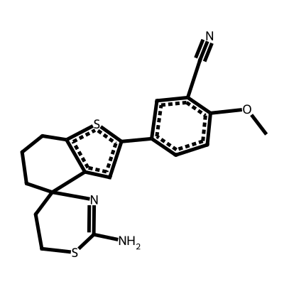 COc1ccc(-c2cc3c(s2)CCCC32CCSC(N)=N2)cc1C#N